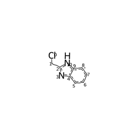 ClCc1nc2ccc[c]c2[nH]1